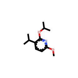 COc1ccc(C(C)C)c(OC(C)C)n1